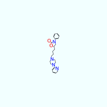 O=C1OC(CCCCN2CCN(c3ccccn3)CC2)CN1c1ccccc1